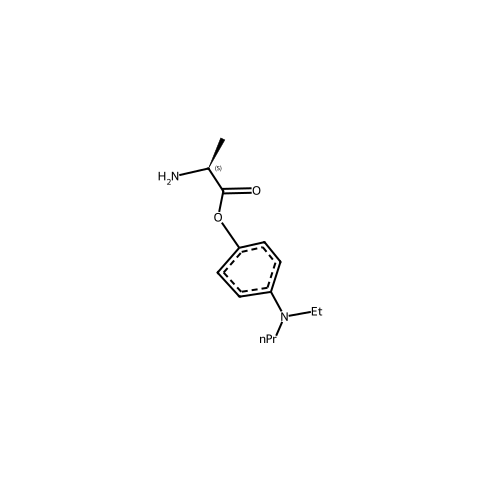 CCCN(CC)c1ccc(OC(=O)[C@H](C)N)cc1